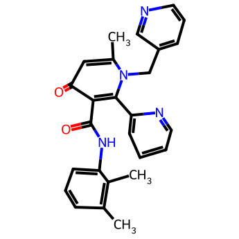 Cc1cccc(NC(=O)c2c(-c3ccccn3)n(Cc3cccnc3)c(C)cc2=O)c1C